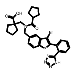 O=C(C1CCCC1)N(Cc1ccc2sc(-c3ccccc3-c3nnn[nH]3)c(Br)c2c1)CC1(C(=O)O)CCCC1